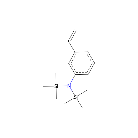 C=Cc1cccc(N([Si](C)(C)C)[Si](C)(C)C)c1